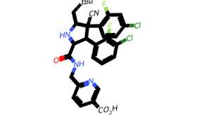 CC(C)(C)CC1NC(C(=O)NCc2ccc(C(=O)O)cn2)C(c2cccc(Cl)c2F)C1(C#N)c1ccc(Cl)cc1F